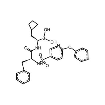 O=C(N[C@@H](CC1CCC1)B(O)O)[C@H](Cc1ccccc1)NS(=O)(=O)c1ccc(Oc2ccccc2)nc1